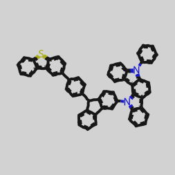 c1ccc(-n2c3ccccc3c3c2ccc2c4ccccc4n(-c4ccc5c(c4)-c4ccccc4C5c4ccc(-c5ccc6sc7ccccc7c6c5)cc4)c23)cc1